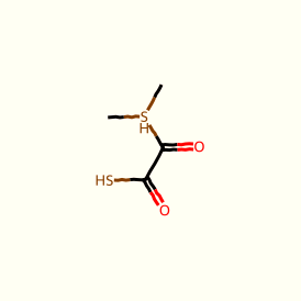 C[SH](C)C(=O)C(=O)S